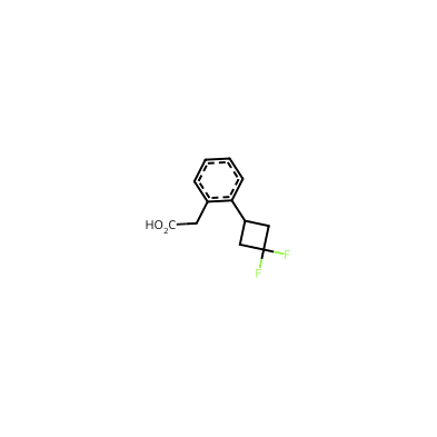 O=C(O)Cc1ccccc1C1CC(F)(F)C1